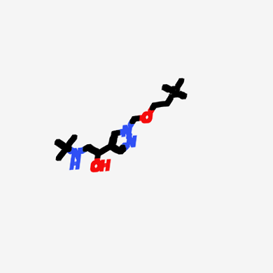 CC(C)(C)NCC(O)c1cnn(COCC[Si](C)(C)C)c1